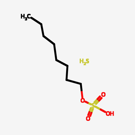 CCCCCCCCOS(=O)(=O)O.S